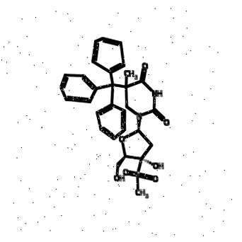 CC1(C(c2ccccc2)(c2ccccc2)c2ccccc2)CN([C@H]2C[C@@](O)(S(C)(=O)=O)[C@@H](CO)O2)C(=O)NC1=O